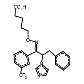 O=C(O)CCCCO/N=C(\c1cccc(C(F)(F)F)c1)C(Cc1ccccc1)n1ccnc1